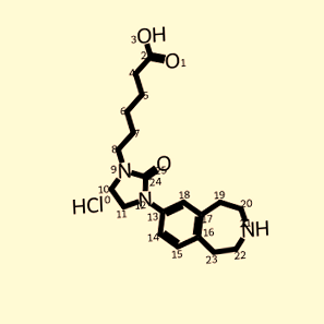 Cl.O=C(O)CCCCCN1CCN(c2ccc3c(c2)CCNCC3)C1=O